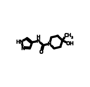 CC1(O)CCN(C(=O)Nc2cn[nH]c2)CC1